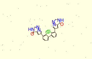 O=c1[nH]cnn2cc(-c3cccc(-c4cccc(-c5cc6c(=O)[nH]cnn6c5)c4Cl)c3Cl)cc12